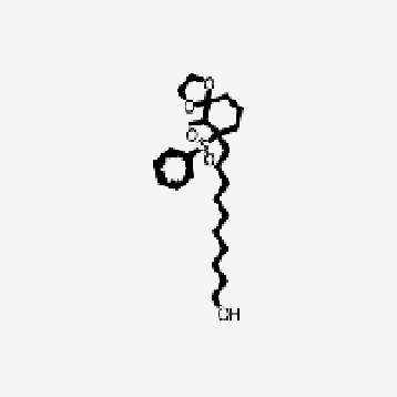 CC1C2(CCCC1(CCCCCCCCCCO)S(=O)(=O)c1ccccc1)OCCO2